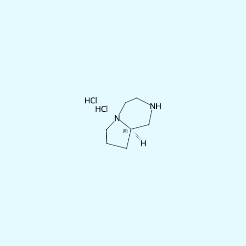 C1C[C@@H]2CNCCN2C1.Cl.Cl